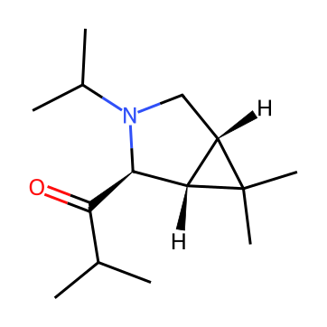 CC(C)C(=O)[C@@H]1[C@@H]2[C@H](CN1C(C)C)C2(C)C